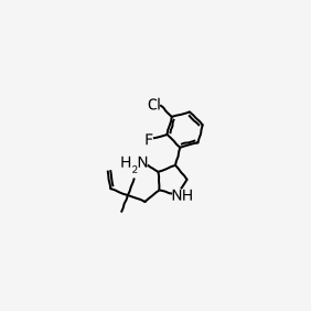 C=CC(C)(C)CC1NCC(c2cccc(Cl)c2F)C1N